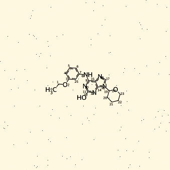 CCOc1cccc(Nc2nc(O)nc3c2ncn3C2CCCCO2)c1